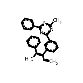 C=C/C(=C(\C)c1ccccc1)c1cccc(-c2nc(C)nc(-c3ccccc3)n2)c1